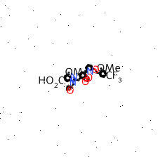 COc1cc(C(F)(F)F)ccc1COc1cccc(-c2ccc(Cc3nc4c(OC)cc(C(=O)O)cc4n3C[C@@H]3CCO3)c3c2OCO3)n1